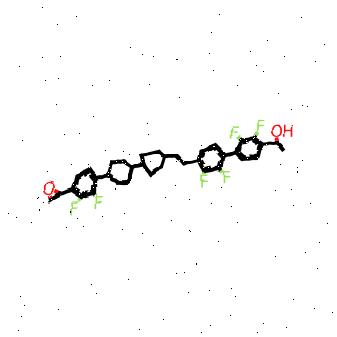 CC(O)c1ccc(-c2ccc(CCC3CCC(C4CCC(c5ccc(C6CO6)c(F)c5F)CC4)CC3)c(F)c2F)c(F)c1F